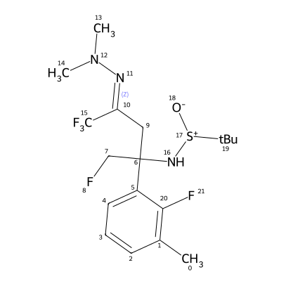 Cc1cccc(C(CF)(C/C(=N/N(C)C)C(F)(F)F)N[S+]([O-])C(C)(C)C)c1F